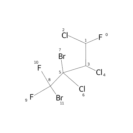 FC(Cl)C(Cl)C(Cl)(Br)C(F)(F)Br